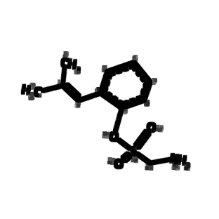 CC(C)=Cc1ccccc1OS(=O)(=O)CN